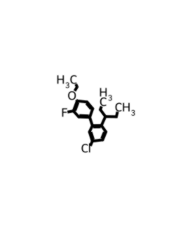 CCOc1ccc(-c2cc(Cl)ccc2C(CC)CC)cc1F